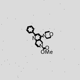 COC(=O)N1C=Cc2nc(-c3ccccc3)cc(N3CCOCC3)c2C1